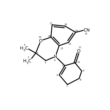 CC1(C)CN(C2=CCCCC2=O)c2cc(C#N)ccc2O1